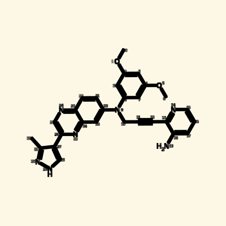 COc1cc(OC)cc(N(CC#Cc2ncccc2N)c2ccc3ncc(-c4c[nH]nc4C)nc3c2)c1